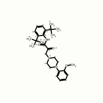 COc1ccccc1N1CCN(CC(=O)C(=O)Nc2c(C(C)(C)C)cccc2C(C)(C)C)CC1